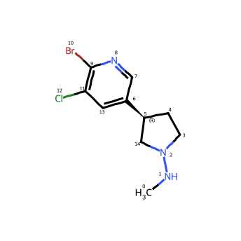 CNN1CC[C@H](c2cnc(Br)c(Cl)c2)C1